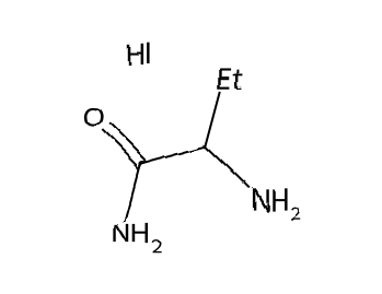 CCC(N)C(N)=O.I